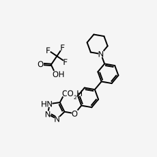 O=C(O)C(F)(F)F.O=C(O)c1[nH]nnc1Oc1ccc(-c2cccc(N3CCCCC3)c2)cc1